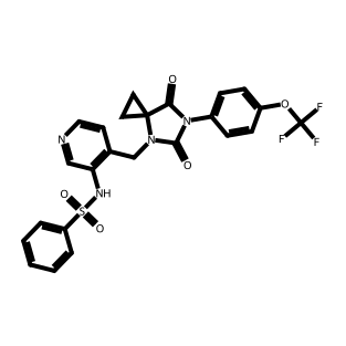 O=C1N(c2ccc(OC(F)(F)F)cc2)C(=O)C2(CC2)N1Cc1ccncc1NS(=O)(=O)c1ccccc1